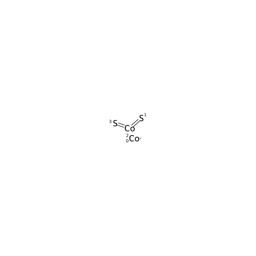 [Co].[S]=[Co]=[S]